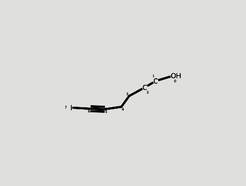 OCCCCC#CI